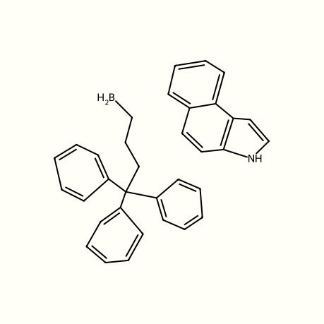 BCCCC(c1ccccc1)(c1ccccc1)c1ccccc1.c1ccc2c(c1)ccc1[nH]ccc12